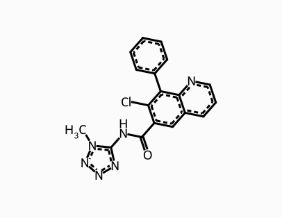 Cn1nnnc1NC(=O)c1cc2cccnc2c(-c2ccccc2)c1Cl